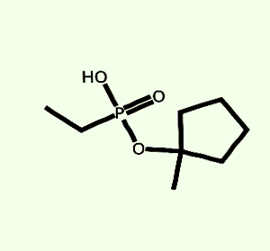 CCP(=O)(O)OC1(C)CCCC1